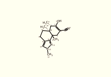 C[C@@H]1C(O)=C(C#N)C[C@]2(C)c3nn(C)cc3CC[C@@]12C